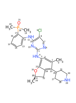 Cc1cc(Nc2ncc(Cl)c(Nc3ccccc3P(C)(C)=O)n2)c2c(c1C1CCNCC1)C[C@@H](C)O2